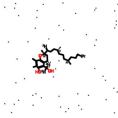 [2H]C(CC[C@H](C)CCC[C@H](C)CCCC(C)C)[C@]1(C)CCc2c(c(C)c(C)c(O)c2C([2H])([2H])O)O1